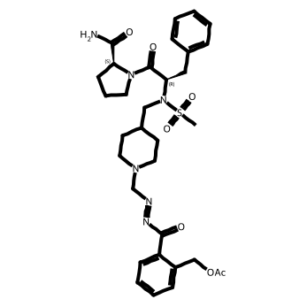 CC(=O)OCc1ccccc1C(=O)N=NCN1CCC(CN([C@H](Cc2ccccc2)C(=O)N2CCC[C@H]2C(N)=O)S(C)(=O)=O)CC1